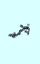 O=C1CCC(N2C(=O)c3ccc(N4CCOC(CN5CCN(c6ccc(C(=O)Nc7n[nH]c8ccc(Cc9cc(F)cc(F)c9)cc78)c(NC7CCOCC7)c6)CC5)C4)cc3C2=O)C(=O)N1